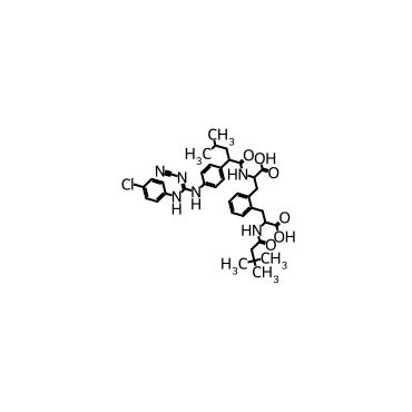 CC(C)CC(C(=O)NC(Cc1ccccc1CC(NC(=O)CC(C)(C)C)C(=O)O)C(=O)O)c1ccc(NC(=NC#N)Nc2ccc(Cl)cc2)cc1